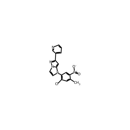 Cc1cc(Cl)c(-n2ccn3nc(-c4cccnc4)cc23)cc1[N+](=O)[O-]